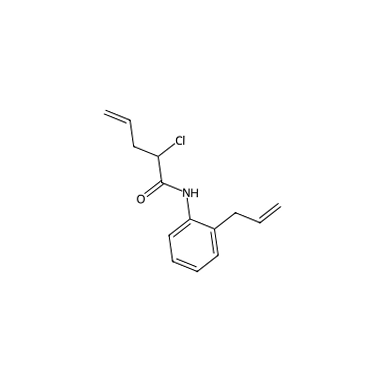 C=CCc1ccccc1NC(=O)C(Cl)CC=C